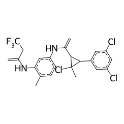 C=C(CC(F)(F)F)Nc1cc(NC(=C)C2C(c3cc(Cl)cc(Cl)c3)C2(C)Cl)ccc1C